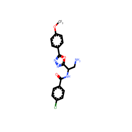 NCC(NC(=O)c1ccc(Cl)cc1)c1nnc(-c2ccc(OC(F)(F)F)cc2)o1